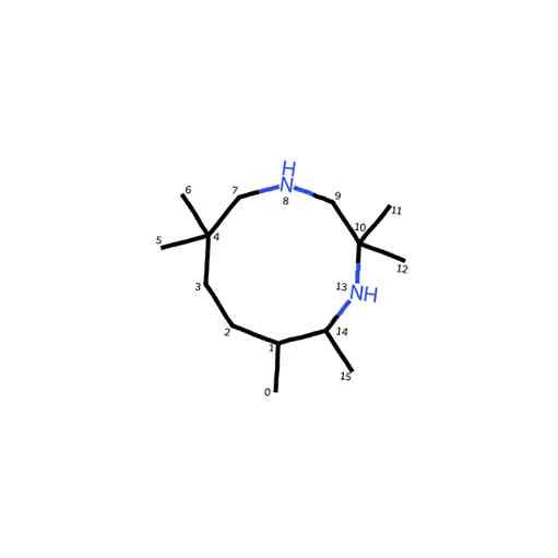 CC1CCC(C)(C)CNCC(C)(C)NC1C